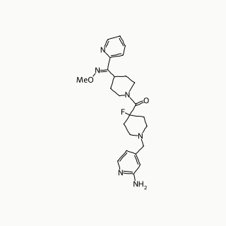 CO/N=C(/c1ccccn1)C1CCN(C(=O)C2(F)CCN(Cc3ccnc(N)c3)CC2)CC1